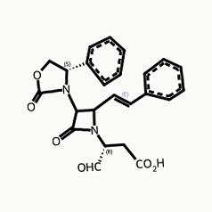 O=C[C@@H](CC(=O)O)N1C(=O)C(N2C(=O)OC[C@@H]2c2ccccc2)C1/C=C/c1ccccc1